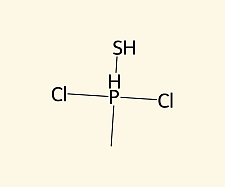 C[PH](S)(Cl)Cl